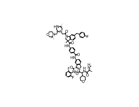 CN[C@@H](C)C(=O)NC(C(=O)N1Cc2ccc(NC(=O)c3ccc(NC(=O)C4(C)CN(C(=O)CN5C[C@@H](C)NC[C@@H]5CN5CCOC[C@H]5C)c5cc(Cc6ccc(F)cc6)ccc54)cc3)cc2[C@H]1C(=O)Nc1c(F)cccc1F)C1CCOCC1